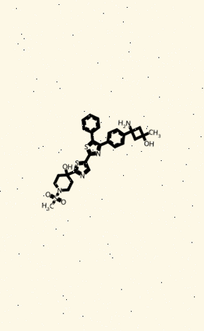 CC1(O)CC(N)(c2ccc(-c3nc(-c4cnc(C5(O)CCN(S(C)(=O)=O)CC5)s4)sc3-c3ccccc3)cc2)C1